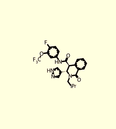 CC(C)CN1C(=O)c2ccccc2[C@H](C(=O)Nc2ccc(F)c(OC(F)(F)F)c2)[C@H]1c1cn[nH]c1